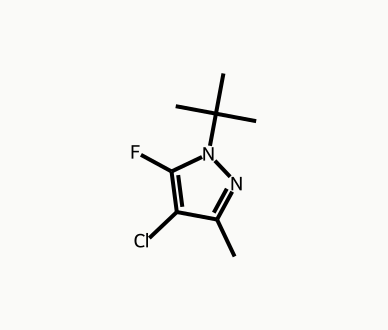 Cc1nn(C(C)(C)C)c(F)c1Cl